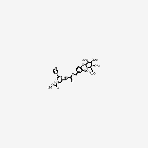 CC(=O)OCC1O[C@@H](Oc2ccc(COC(=O)NCC(CNC(=O)OC(C)(C)C)OC(=O)n3ccnc3)cc2[N+](=O)[O-])C(OC(C)=O)C(OC(C)=O)[C@H]1OC(C)=O